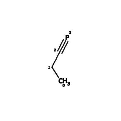 CCC#P